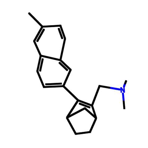 Cc1ccc2cc(C3=C(CN(C)C)C4CCC3C4)ccc2c1